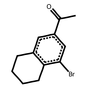 CC(=O)c1cc(Br)c2c(c1)CCCC2